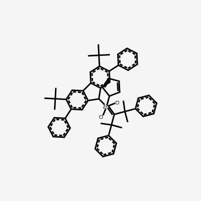 CC(C)(C)c1cc2c(cc1-c1ccccc1)[CH]([Zr]([Cl])([Cl])(=[C](C(C)(C)c1ccccc1)C(C)(C)c1ccccc1)[CH]1C=CC=C1)c1cc(-c3ccccc3)c(C(C)(C)C)cc1-2